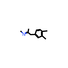 C/N=C(\C)Cc1ccc(C)c(C)c1